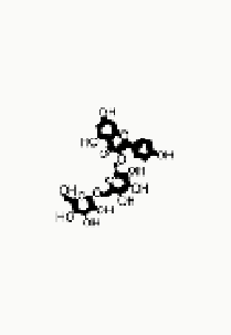 O=c1c(OC[C@@H]2OC(CO[C@@H]3OC(CO)[C@H](O)[C@@H](O)C3O)[C@H](O)[C@@H](O)C2O)c(-c2ccc(O)cc2)oc2cc(O)cc(O)c12